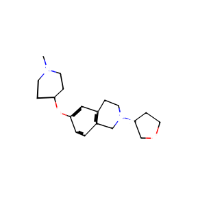 CN1CCC(Oc2ccc3c(c2)CCN([C@H]2CCOC2)C3)CC1